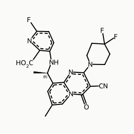 Cc1cc([C@@H](C)Nc2ccc(F)nc2C(=O)O)c2nc(N3CCC(F)(F)CC3)c(C#N)c(=O)n2c1